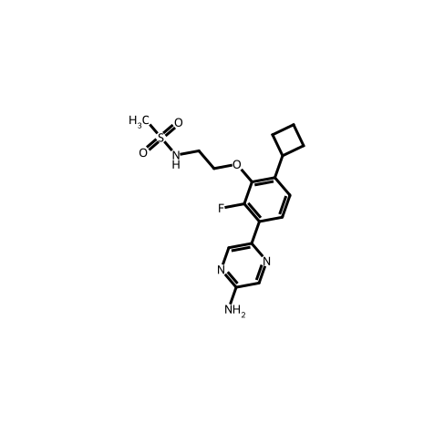 CS(=O)(=O)NCCOc1c(C2CCC2)ccc(-c2cnc(N)cn2)c1F